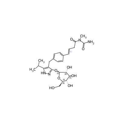 CC(C)c1[nH]nc(O[C@@H]2O[C@H](CO)[C@@H](O)[C@H](O)[C@H]2O)c1Cc1ccc(/C=C/CC(=O)N(C)C(N)=O)cc1